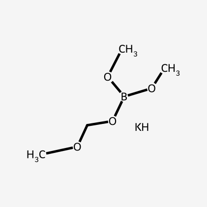 COCOB(OC)OC.[KH]